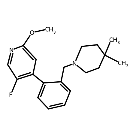 COc1cc(-c2ccccc2CN2CCC(C)(C)CC2)c(F)cn1